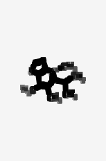 Cc1c(C)c2sccc2[n+](C)c1C(C)C